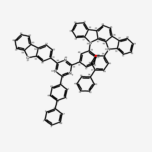 c1ccc(-c2ccc(-c3nc(-c4cccc(-n5c6ccccc6c6ccc7c8ccccc8n(-c8ccc(-c9ccccc9)cc8)c7c65)c4)nc(-c4ccc5c(c4)oc4ccccc45)n3)cc2)cc1